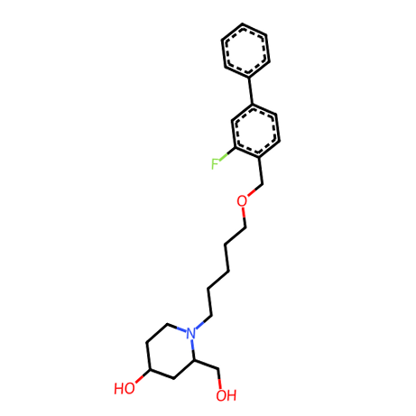 OCC1CC(O)CCN1CCCCCOCc1ccc(-c2ccccc2)cc1F